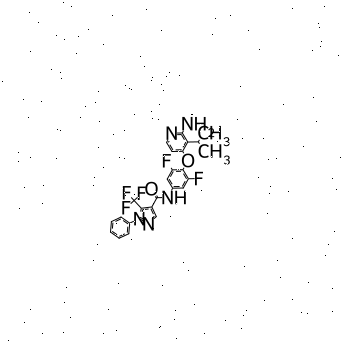 CC(C)c1c(Oc2c(F)cc(NC(=O)c3cnn(-c4ccccc4)c3C(F)(F)F)cc2F)ccnc1N